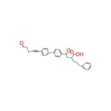 O=CCCC#Cc1ccc(-c2ccc(C(=O)CC(CCCc3ccccc3)C(=O)O)cc2)cc1